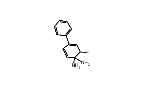 NC1(N)C=CC(c2ccccc2)=CC1F